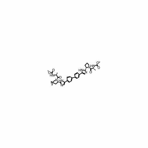 COC(=O)N[C@@H](C)C(=O)N1CCC[C@@H]1c1ncc(-c2ccc(-c3ccc(-c4cnc([C@H]5C[Si](C)(C)CN5C(=O)[C@H](C)NC(=O)OC)[nH]4)cc3)cc2)[nH]1